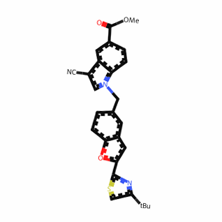 COC(=O)c1ccc2c(c1)c(C#N)cn2Cc1ccc2oc(-c3nc(C(C)(C)C)cs3)cc2c1